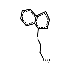 O=C(O)CCSc1cccc2ccccc12